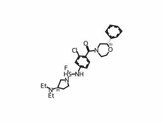 CCN(CC)[C@@H]1CCN([SH](F)Nc2ccc(C(=O)N3CCO[C@@H](c4ccccc4)C3)c(Cl)c2)C1